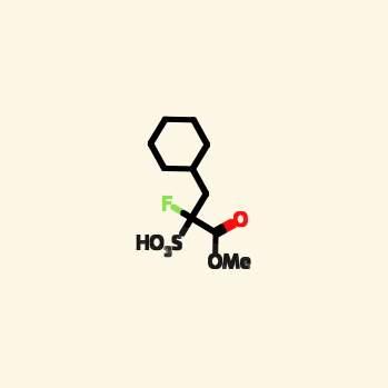 COC(=O)C(F)(CC1CCCCC1)S(=O)(=O)O